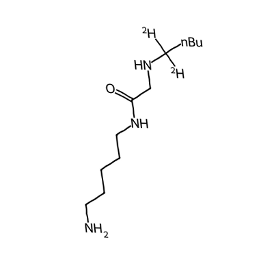 [2H]C([2H])(CCCC)NCC(=O)NCCCCCN